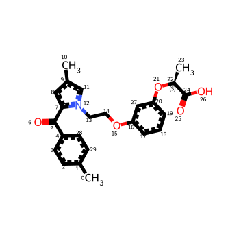 Cc1ccc(C(=O)c2cc(C)cn2CCOc2cccc(O[C@@H](C)C(=O)O)c2)cc1